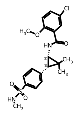 CNS(=O)(=O)c1ccc([C@@H]2[C@H](NC(=O)c3cc(Cl)ccc3OC)C2(C)C)cc1